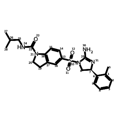 Cc1ccccc1[C@H]1CN(S(=O)(=O)c2ccc3c(c2)CCN3C(=O)NCC(C)C)C(N)=N1